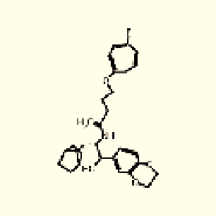 C=C(CCCOC1=CC=C(F)C=CC1)N[C@@H](CC1C2CCC1CC2)C(O)c1ccc2c(c1)OCCO2